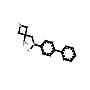 CC1(C[S+]([O-])c2ccc(-c3ccccc3)cc2)COC1